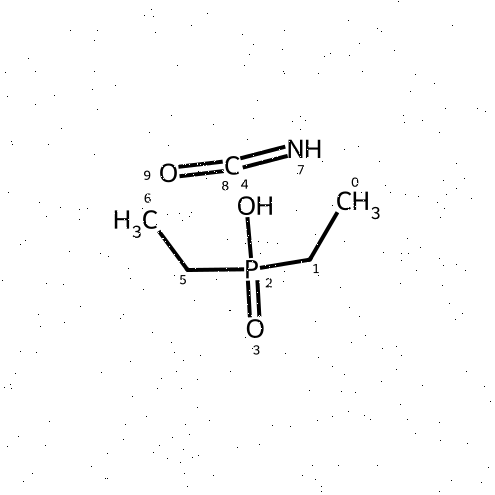 CCP(=O)(O)CC.N=C=O